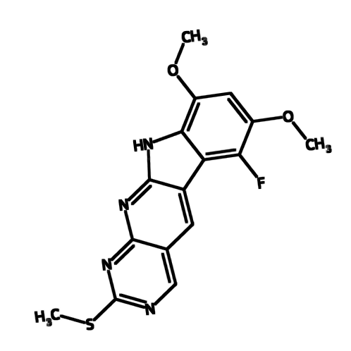 COc1cc(OC)c2[nH]c3nc4nc(SC)ncc4cc3c2c1F